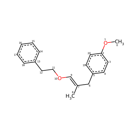 COc1ccc(CC(C)=COCCc2ccccc2)cc1